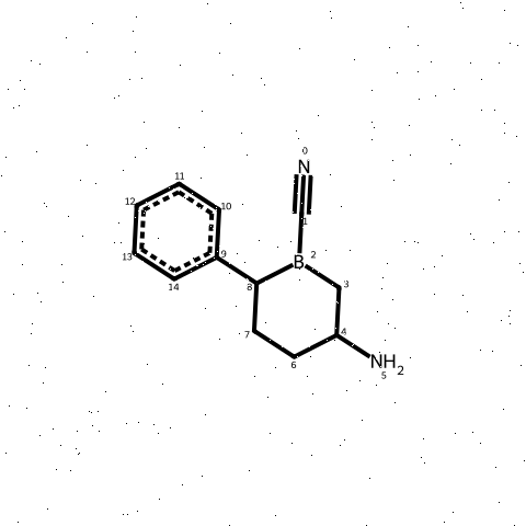 N#CB1CC(N)CCC1c1ccccc1